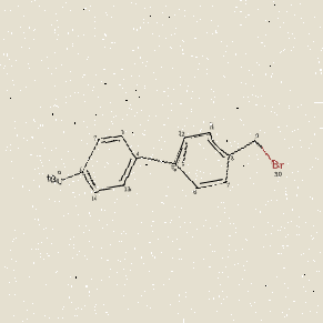 CC(C)(C)c1ccc(-c2ccc(CBr)cc2)cc1